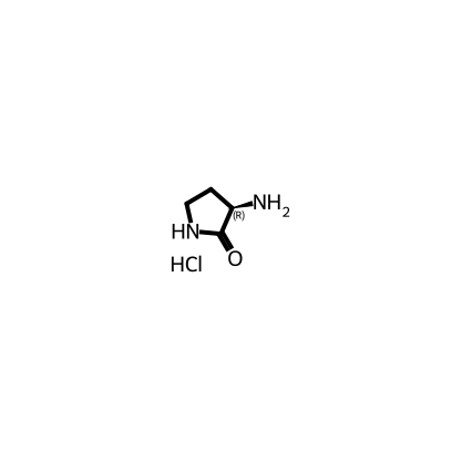 Cl.N[C@@H]1CCNC1=O